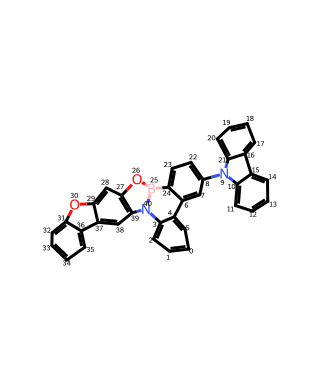 c1ccc2c(c1)-c1cc(-n3c4ccccc4c4ccccc43)ccc1B1Oc3cc4oc5ccccc5c4cc3N12